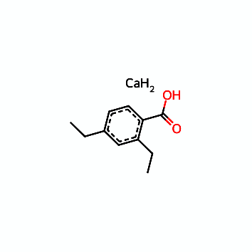 CCc1ccc(C(=O)O)c(CC)c1.[CaH2]